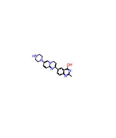 Cc1nc(O)c2cc(C3=CCN4C=C(N5CCNCC5)C=CC4=N3)ccc2n1